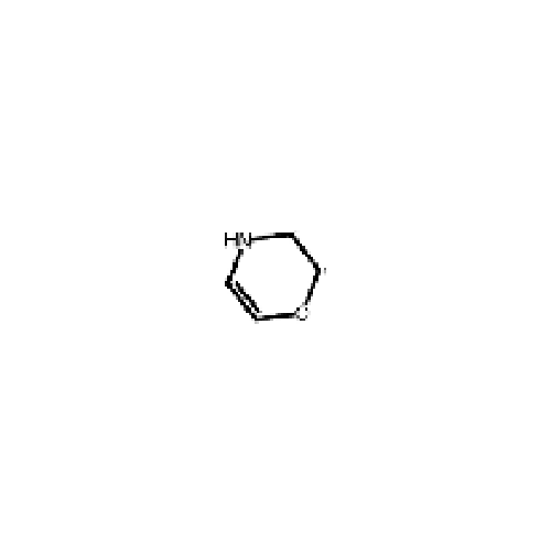 [C]1[C]OC=CN1